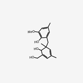 COc1cc(C)cc(CC2(C)C=C(C)C=C(CO)C2O)c1O